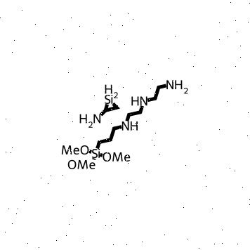 CO[Si](CCCNCCNCCN)(OC)OC.NC1C[SiH2]1